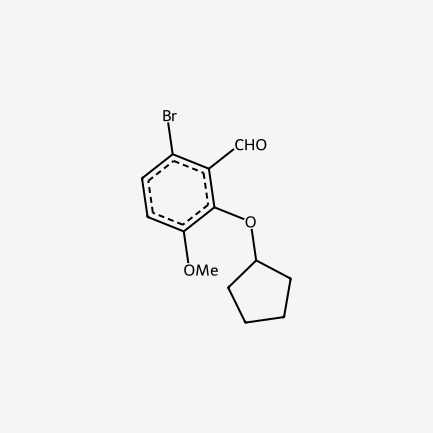 COc1ccc(Br)c(C=O)c1OC1CCCC1